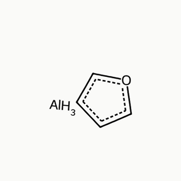 [AlH3].c1ccoc1